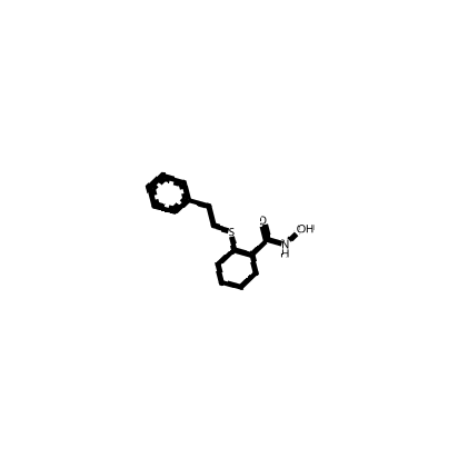 O=C(NO)C1CCCCC1SCCc1ccccc1